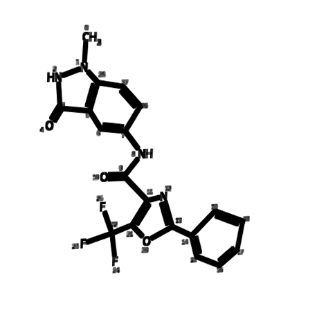 Cn1[nH]c(=O)c2cc(NC(=O)c3nc(-c4ccccc4)oc3C(F)(F)F)ccc21